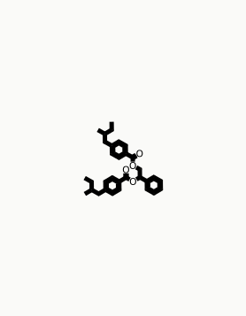 CCC(C)Cc1ccc(C(=O)OCC(OC(=O)c2ccc(CC(C)CC)cc2)c2ccccc2)cc1